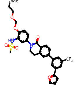 COCCOCOc1ccc(N2CCc3cc(-c4cc(-c5ccco5)cc(C(F)(F)F)c4)ccc3C2=O)cc1NS(C)(=O)=O